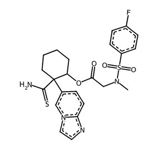 CN(CC(=O)OC1CCCCC1(C(N)=S)c1ccc2nccn2c1)S(=O)(=O)c1ccc(F)cc1